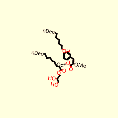 CCCCCCCCCCCCCCCCCC(=O)OCC(O)CO.CCCCCCCCCCCCCCCCO.CCCCCCCCOC(=O)C(=Cc1ccccc1)OC